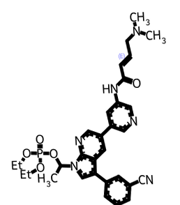 CCOP(=O)(OCC)OC(C)n1cc(-c2cccc(C#N)c2)c2cc(-c3cncc(NC(=O)/C=C/CN(C)C)c3)cnc21